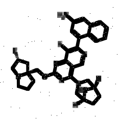 Nc1cc(-c2ncc3c(N4C[C@H]5CC[C@@H](C4)N5)nc(OC[C@@]45CCCN4C[C@H](F)C5)nc3c2F)c2ccccc2c1